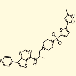 Cc1cc(-c2ccc(S(=O)(=O)N3CCN(C[C@H](C)Nc4ncnc5c(-c6ccncc6)csc45)CC3)s2)on1